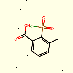 Cc1cccc(C(=O)O)c1S(=O)(=O)Cl